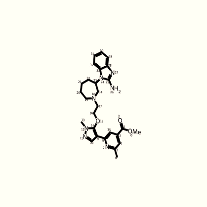 COC(=O)c1cc(C)nc(-c2cnn(C)c2OCCN2CCCCC(n3c(N)nc4ccccc43)C2)c1